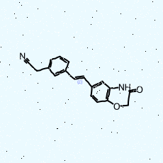 N#CCc1cccc(/C=C/c2ccc3c(c2)NC(=O)CO3)c1